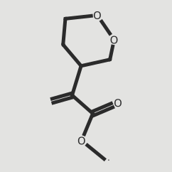 [CH2]OC(=O)C(=C)C1CCOOC1